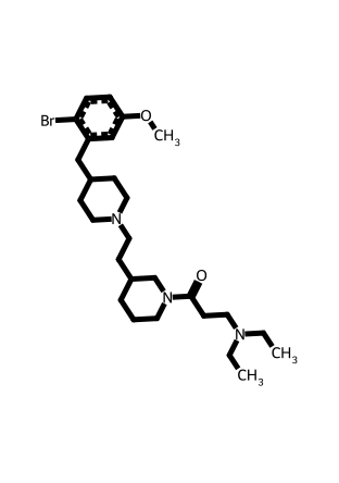 CCN(CC)CCC(=O)N1CCCC(CCN2CCC(Cc3cc(OC)ccc3Br)CC2)C1